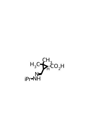 CC(C)NN=CC1[C@@H](C(=O)O)C1(C)C